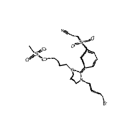 CS(=O)(=O)OCCCN1CCN(CCCBr)C1=C1C=CC=C(S(=O)(=O)CC#N)C1